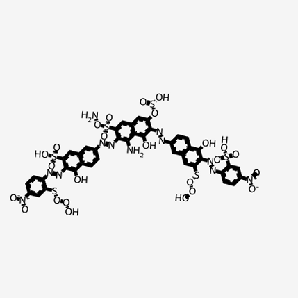 NOS(=O)(=O)c1cc2cc(OS(=O)O)c(N=Nc3ccc4c(O)c(N=Nc5ccc([N+](=O)[O-])cc5S(=O)(=O)O)c(SOOO)cc4c3)c(O)c2c(N)c1N=Nc1ccc2c(O)c(N=Nc3ccc([N+](=O)[O-])cc3SOOO)c(S(=O)(=O)O)cc2c1